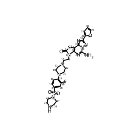 Nc1nc2c(sc(=O)n2CCN2CCN(c3ccc(S(=O)(=O)N4CCNCC4)cc3F)CC2)c2nc(-c3ccco3)nn12